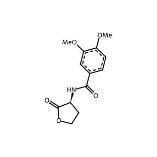 COc1ccc(C(=O)N[C@H]2CCOC2=O)cc1OC